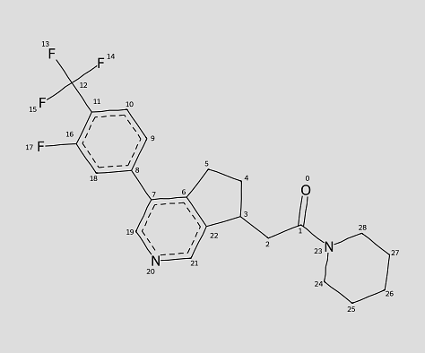 O=C(CC1CCc2c(-c3ccc(C(F)(F)F)c(F)c3)cncc21)N1CCCCC1